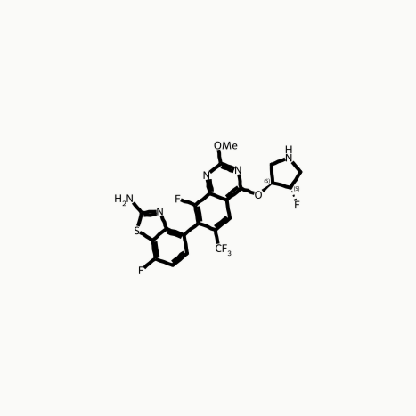 COc1nc(O[C@H]2CNC[C@@H]2F)c2cc(C(F)(F)F)c(-c3ccc(F)c4sc(N)nc34)c(F)c2n1